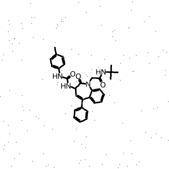 Cc1ccc(NC(=O)NC2C=C(c3ccccc3)c3ccccc3N(CC(=O)NC(C)(C)C)C2=O)cc1